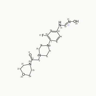 O=C(CN1CCN(c2ccc(N/C=N/O)cc2F)CC1)N1CCOCC1